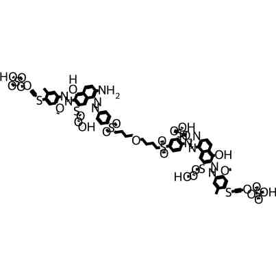 COc1cc(SC#COOS(=O)(=O)O)c(C)cc1N=Nc1c(SOOO)cc2c(N=Nc3ccc(S(=O)(=O)CCCCOCCCCS(=O)(=O)c4ccc(N=Nc5c(N)ccc6c(O)c(N=Nc7cc(C)c(SC#COOS(=O)(=O)O)cc7OC)c(SOOO)cc56)c(S(=O)(=O)O)c4)cc3)c(N)ccc2c1O